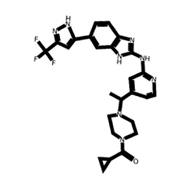 CC(c1ccnc(Nc2nc3ccc(-c4cc(C(F)(F)F)n[nH]4)cc3[nH]2)c1)N1CCN(C(=O)C2CC2)CC1